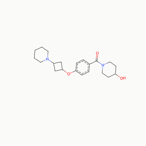 O=C(c1ccc(OC2CC(N3CCCCC3)C2)cc1)N1CCC(O)CC1